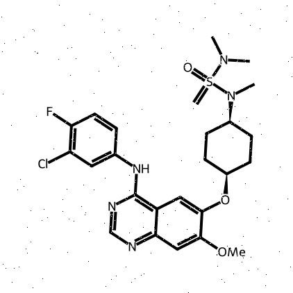 C=S(=O)(N(C)C)N(C)[C@H]1CC[C@@H](Oc2cc3c(Nc4ccc(F)c(Cl)c4)ncnc3cc2OC)CC1